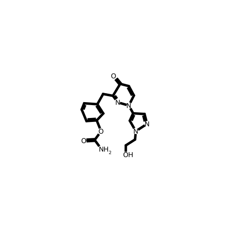 NC(=O)Oc1cccc(Cc2nn(-c3cnn(CCO)c3)ccc2=O)c1